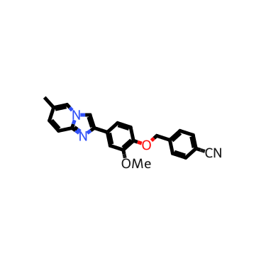 COc1cc(-c2cn3cc(C)ccc3n2)ccc1OCc1ccc(C#N)cc1